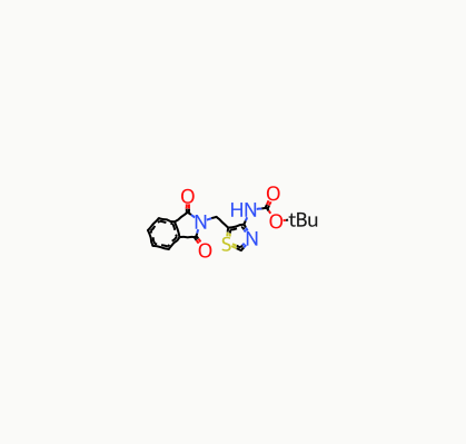 CC(C)(C)OC(=O)Nc1ncsc1CN1C(=O)c2ccccc2C1=O